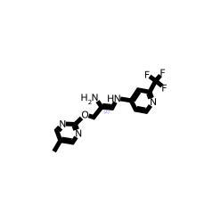 Cc1cnc(OC/C(N)=C/Nc2ccnc(C(F)(F)F)c2)nc1